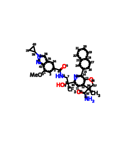 COc1cc(C(=O)NCC(O)(c2cc3c(c(-c4ccc5ccccc5c4)n2)OC[C@]3(C)C(N)=O)C(F)(F)F)cc2cn(C3CC3)nc12